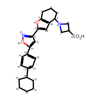 O=C(O)C1CN(C2CCCc3oc(-c4cc(-c5ccc(C6CCCCC6)cc5)on4)cc32)C1